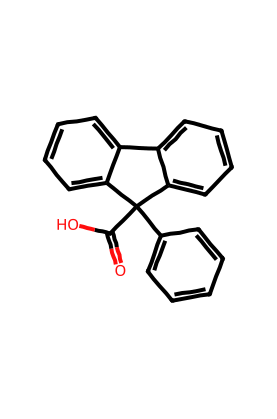 O=C(O)C1(c2ccccc2)c2ccccc2-c2ccccc21